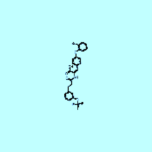 O=C(CCc1cccc(OC(F)(F)F)c1)NC(=Cc1ccc(Oc2ccccc2Br)cc1)C(=O)O